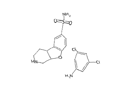 NS(=O)(=O)c1ccc2c(c1)C1CCNCC1O2.Nc1cc(Cl)cc(Cl)c1